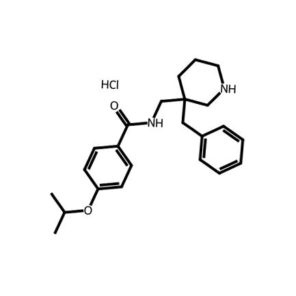 CC(C)Oc1ccc(C(=O)NCC2(Cc3ccccc3)CCCNC2)cc1.Cl